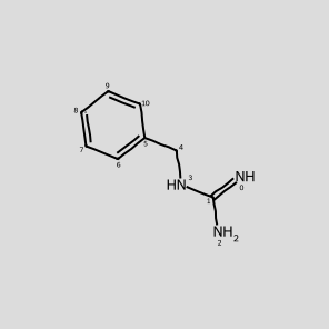 N=C(N)NCc1cc[c]cc1